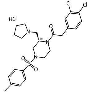 Cc1ccc(S(=O)(=O)N2CCN(C(=O)Cc3ccc(Cl)c(Cl)c3)[C@H](CN3CCCC3)C2)cc1.Cl